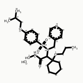 CCCOC1(C(C(=O)NO)N(Cc2ccncc2)S(=O)(=O)c2ccc(OCC(C)C)cc2)CCCCC1.Cl